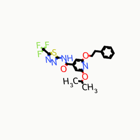 CC(C)Oc1cc(C(=O)Nc2nnc(C(F)(F)F)s2)cc(OCCc2ccccc2)n1